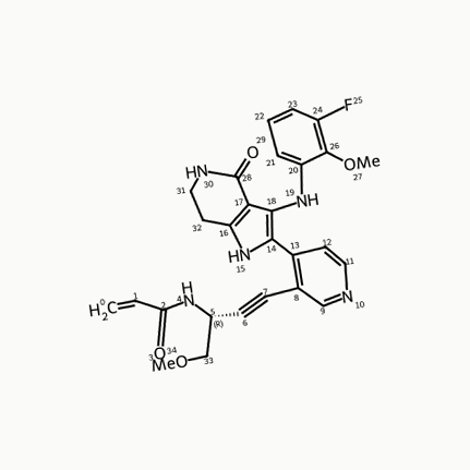 C=CC(=O)N[C@H](C#Cc1cnccc1-c1[nH]c2c(c1Nc1cccc(F)c1OC)C(=O)NCC2)COC